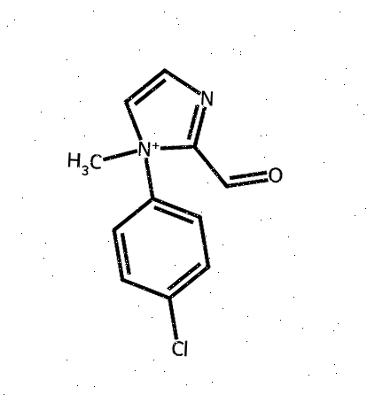 C[N+]1(c2ccc(Cl)cc2)C=CN=C1C=O